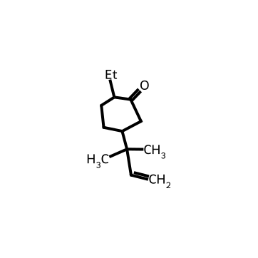 C=CC(C)(C)C1CCC(CC)C(=O)C1